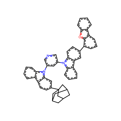 c1ccc2c(c1)oc1c(-c3ccc4c(c3)c3ccccc3n4-c3cncc(-n4c5ccccc5c5ccc(C67CC8CC(CC(C8)C6)C7)cc54)c3)cccc12